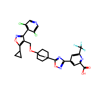 O=C(O)c1cc(-c2noc(C34CCC(OCc5c(-c6c(Cl)cncc6Cl)noc5C5CC5)(CC3)CC4)n2)cc(C(F)(F)F)n1